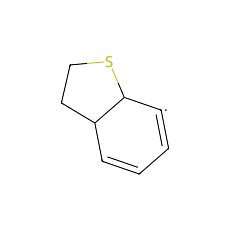 [C]1=CC=CC2CCSC12